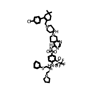 [2H]C1(N2CCc3c(ncnc3NS(=O)(=O)c3ccc(N[C@H](CCN4CCCC4)CSc4ccccc4)c(S(=O)(=O)C(F)(F)F)c3)C2)CCN(CC2=C(c3ccc(Cl)cc3)CC(C)(C)CC2)CC1